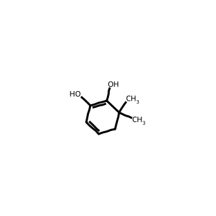 CC1(C)CC=CC(O)=C1O